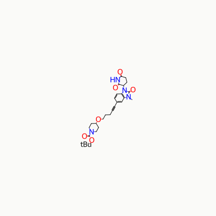 Cn1c(=O)n(C2CCC(=O)NC2=O)c2ccc(C#CCCCOC3CCN(C(=O)OC(C)(C)C)CC3)cc21